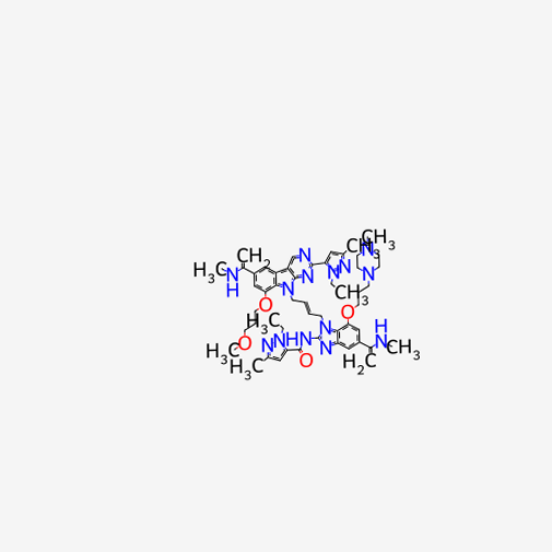 C=C(NC)c1cc(OCCCN2CCN(C)CC2)c2c(c1)nc(NC(=O)c1cc(C)nn1CC)n2C/C=C/Cn1c2nc(-c3cc(C)nn3CC)ncc2c2cc(C(=C)NC)cc(OCCCOC)c21